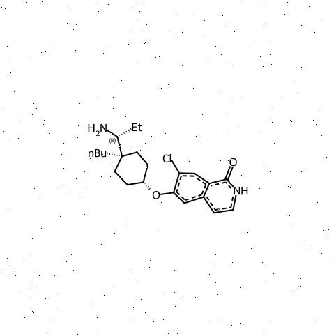 CCCC[C@]1([C@H](N)CC)CC[C@H](Oc2cc3cc[nH]c(=O)c3cc2Cl)CC1